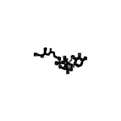 CC(CCO[P@@]1(=O)OC2[C@H]3O[C@@H](n4ccc(=O)[nH]c4=O)[C@](C)(N)[C@@]23O1)CC(=O)OC(C)C